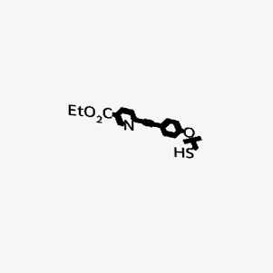 CCOC(=O)c1ccc(C#Cc2ccc(OC(C)(C)CS)cc2)nc1